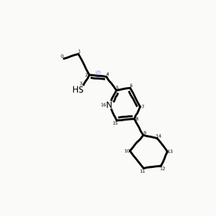 CC/C(S)=C/c1ccc(C2CCCCC2)cn1